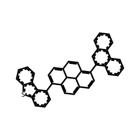 C1=CC2=C(c3cc4ccccc4c4ccccc34)C=CC3=CC=C4C(c5cccc6sc7ccccc7c56)=CC=C1C4C32